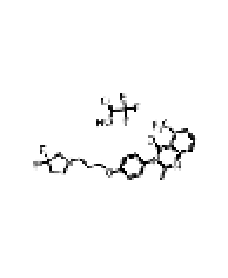 Cc1nc2cccc(C(F)(F)F)c2c(=O)n1-c1ccc(OCCCN2CCC(F)(F)C2)cc1.O=C(O)C(F)(F)F